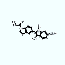 CCNC(=O)N1CCc2cc(-c3c(C#N)c4ccc(OC)cc4n3CC)ccc21